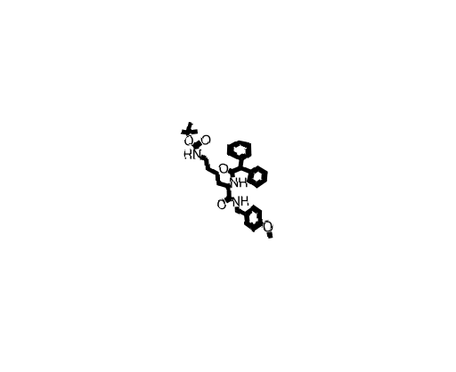 COc1ccc(CNC(=O)C(CCCCNC(=O)OC(C)(C)C)NC(=O)C(c2ccccc2)c2ccccc2)cc1